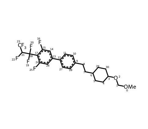 COCOC1CCC(CCc2ccc(-c3cc(F)c(C(F)(F)C(F)C(F)(F)F)c(F)c3)cc2)CC1